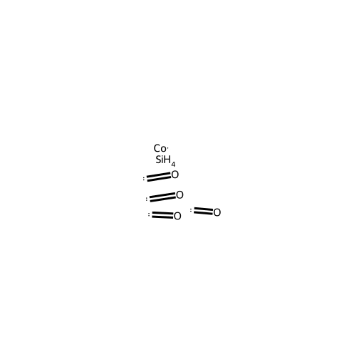 [C]=O.[C]=O.[C]=O.[C]=O.[Co].[SiH4]